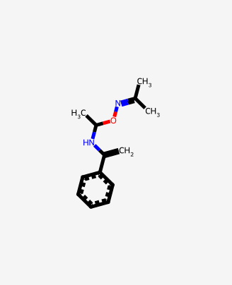 C=C(NC(C)ON=C(C)C)c1ccccc1